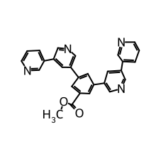 COC(=O)c1cc(-c2cncc(-c3cccnc3)c2)cc(-c2cncc(-c3cccnc3)c2)c1